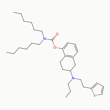 CCCCCCN(CCCCCC)C(=O)Oc1cccc2c1CCC(N(CCC)CCc1cccs1)C2